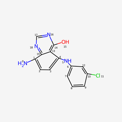 Nc1ccc(Nc2cccc(Cl)c2)c2c(O)ncnc12